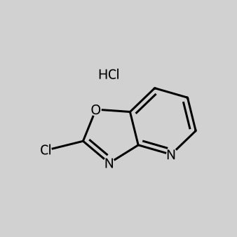 Cl.Clc1nc2ncccc2o1